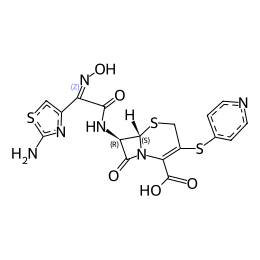 Nc1nc(/C(=N/O)C(=O)N[C@@H]2C(=O)N3C(C(=O)O)=C(Sc4ccncc4)CS[C@@H]23)cs1